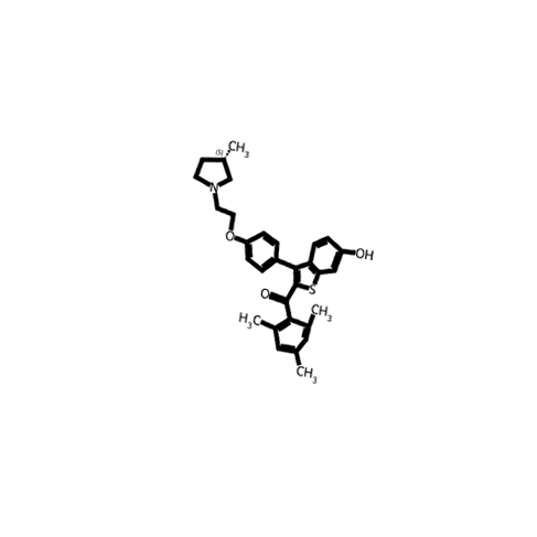 Cc1cc(C)c(C(=O)c2sc3cc(O)ccc3c2-c2ccc(OCCN3CC[C@H](C)C3)cc2)c(C)c1